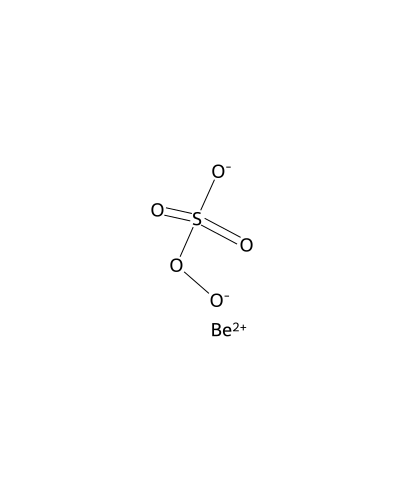 O=S(=O)([O-])O[O-].[Be+2]